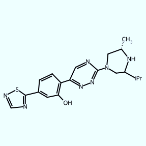 CC(C)C1CN(c2ncc(-c3ccc(-c4ncns4)cc3O)nn2)C[C@H](C)N1